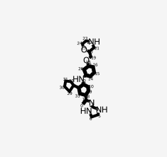 C=C(N=C1NCCN1)c1ccc(Nc2cccc(OCC3CNCCO3)c2)c(C2CCCC2)c1